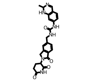 CC1N=Cc2ccc(NC(=O)NCc3ccc4c(c3)CN(C3CCC(=O)NC3=O)C4=O)cc2N1